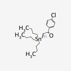 CCC[CH2][Sn](/[CH]=C/C(=O)c1ccc(Cl)cc1)([CH2]CCC)[CH2]CCC